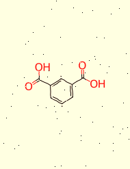 O=C(O)c1[c]c(C(=O)O)c[c]c1